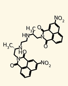 C[C@@H](CN1C(=O)c2cccc3cc([N+](=O)[O-])cc(c23)C1=O)NCCN[C@@H](C)CN1C(=O)c2cccc3cc([N+](=O)[O-])cc(c23)C1=O